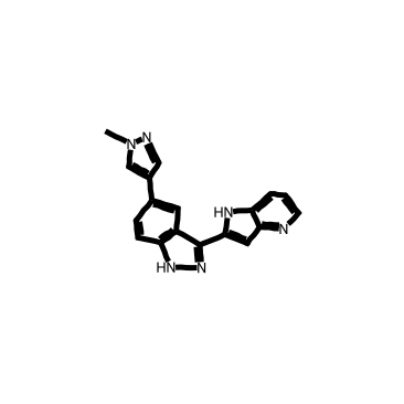 Cn1cc(-c2ccc3[nH]nc(-c4cc5ncccc5[nH]4)c3c2)cn1